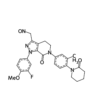 COc1ccc(-n2nc(CN=O)c3c2C(=O)N(c2ccc(N4CCCCC4=O)c(C)c2)CC3)cc1F